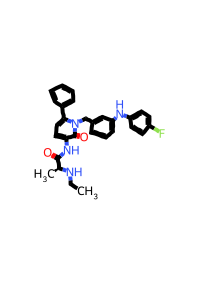 CCN[C@@H](C)C(=O)Nc1ccc(-c2ccccc2)n(Cc2cccc(Nc3ccc(F)cc3)c2)c1=O